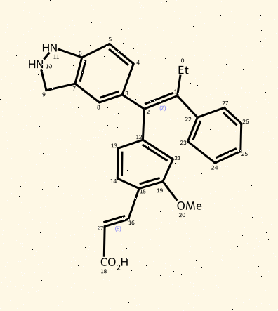 CC/C(=C(\c1ccc2c(c1)CNN2)c1ccc(/C=C/C(=O)O)c(OC)c1)c1ccccc1